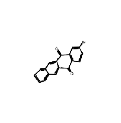 O=C1c2ccc(Br)cc2C(=O)c2cc3ccccc3cc21